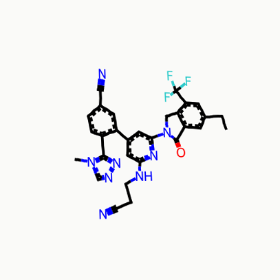 CCc1cc2c(c(C(F)(F)F)c1)CN(c1cc(-c3cc(C#N)ccc3-c3nncn3C)cc(NCCC#N)n1)C2=O